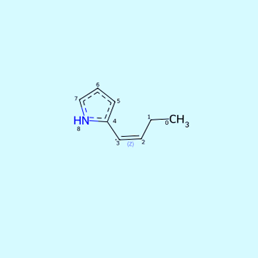 CC/C=[C]\c1ccc[nH]1